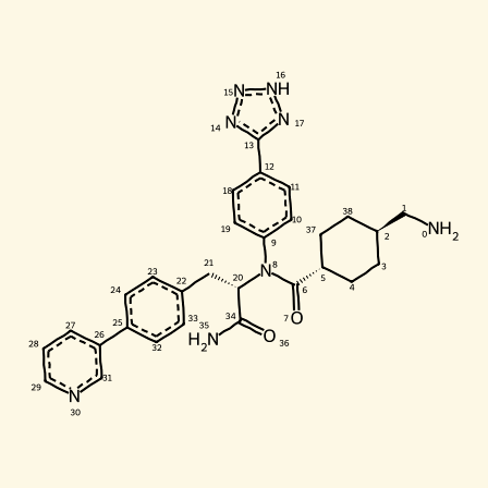 NC[C@H]1CC[C@H](C(=O)N(c2ccc(-c3nn[nH]n3)cc2)[C@@H](Cc2ccc(-c3cccnc3)cc2)C(N)=O)CC1